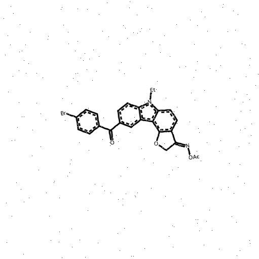 CCn1c2ccc(C(=O)c3ccc(Br)cc3)cc2c2c3c(ccc21)/C(=N/OC(C)=O)CO3